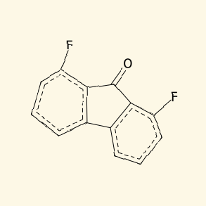 O=C1c2c(F)cccc2-c2cccc(F)c21